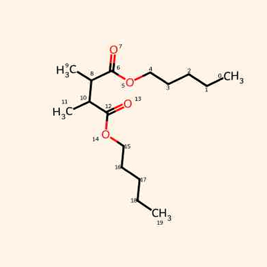 CCCCCOC(=O)C(C)C(C)C(=O)OCCCCC